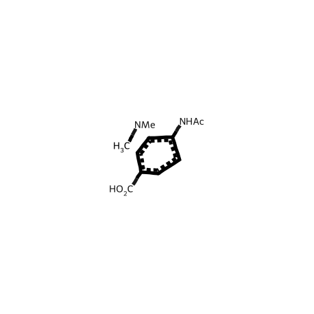 CC(=O)Nc1ccc(C(=O)O)cc1.CNC